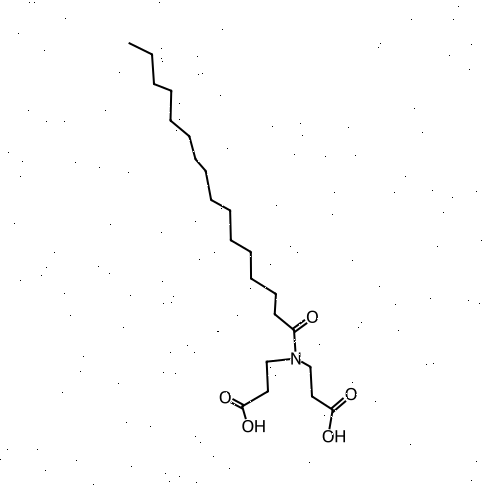 CCCCCCCCCCCCCCCC(=O)N(CCC(=O)O)CCC(=O)O